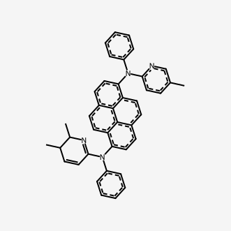 Cc1ccc(N(c2ccccc2)c2ccc3ccc4c(N(C5=NC(C)C(C)C=C5)c5ccccc5)ccc5ccc2c3c54)nc1